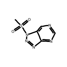 CS(=O)(=O)n1nnc2ncncc21